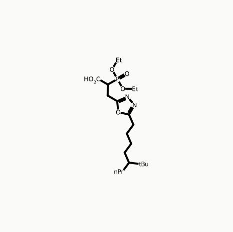 CCCC(CCCCc1nnc(CC(C(=O)O)P(=O)(OCC)OCC)o1)C(C)(C)C